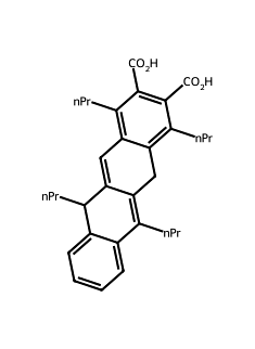 CCCC1=C2Cc3c(c(CCC)c(C(=O)O)c(C(=O)O)c3CCC)C=C2C(CCC)c2ccccc21